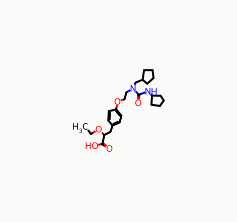 CCOC(Cc1ccc(OCCN(CC2CCCC2)C(=O)NC2CCCC2)cc1)C(=O)O